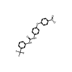 O=C(Nc1ccc(Oc2ccc([N+](=O)[O-])cc2)cc1)Nc1cccc(C(F)(F)F)c1